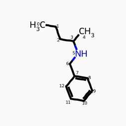 CCCC(C)NCc1c[c]ccc1